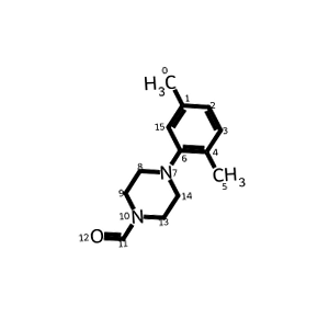 Cc1ccc(C)c(N2CCN(C=O)CC2)c1